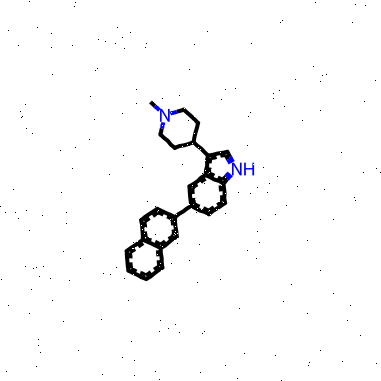 CN1CCC(c2c[nH]c3ccc(-c4ccc5ccccc5c4)cc23)CC1